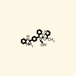 C[C@H](OC(=O)N(CCO)[C@@H](c1ccccc1)c1ccc(C(=O)Nc2ccccc2N)cc1)c1cccnc1